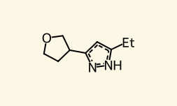 CCc1cc(C2CCOC2)n[nH]1